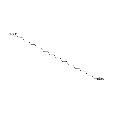 CCCCCCCCCCCCCCCCCCCCCCCCCCCCCCCCCCCC(=O)OCC